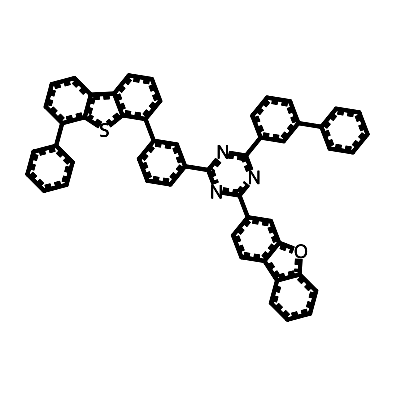 c1ccc(-c2cccc(-c3nc(-c4cccc(-c5cccc6c5sc5c(-c7ccccc7)cccc56)c4)nc(-c4ccc5c(c4)oc4ccccc45)n3)c2)cc1